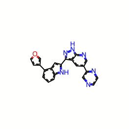 c1cc(-c2ccoc2)c2cc(-c3n[nH]c4ncc(-c5cnccn5)cc34)[nH]c2c1